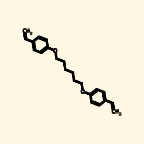 C=Cc1ccc(OCCCCCCOc2ccc(C=C)cc2)cc1